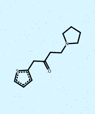 O=C(CCN1CCCC1)Cc1cccs1